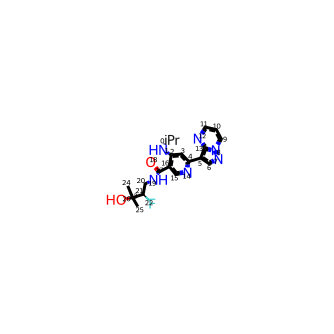 CC(C)Nc1cc(-c2cnn3cccnc23)ncc1C(=O)NC[C@@H](F)C(C)(C)O